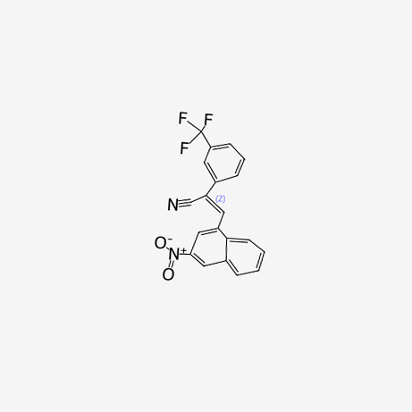 N#C/C(=C\c1cc([N+](=O)[O-])cc2ccccc12)c1cccc(C(F)(F)F)c1